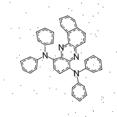 c1ccc(N(c2ccccc2)c2ccc(N(c3ccccc3)c3ccccc3)c3nc4c(ccc5ccccc54)nc23)cc1